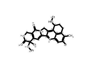 CCNC1CCc2c(C)c(F)cc3nc4c(c1c23)Cn1c-4cc2c(c1=O)COC(=O)C2(CC)OC(C)C